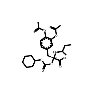 CCC(C)N[C@@](Cc1ccc(OC(C)=O)c(OC(C)=O)c1)(OC(=O)OC1CCCCC1)C(=O)O